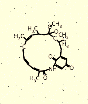 COC1(OC)CC(C)C=C(C)[CH]CC=CC=C(C)C(=O)NC2=CC(=O)C=C(CC(C)C1)C2=O